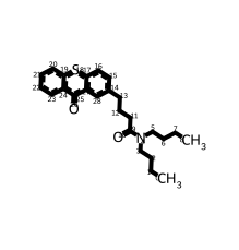 CCCCN(CCCC)C(=O)CCCc1ccc2sc3ccccc3c(=O)c2c1